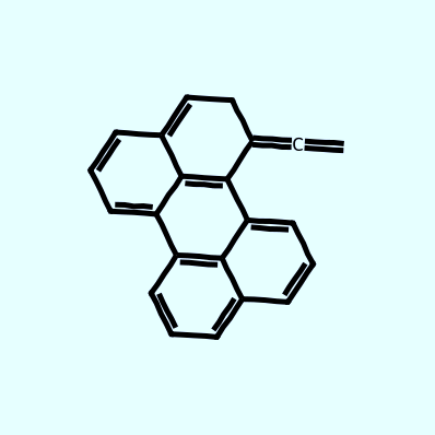 C=C=C1CC=c2cccc3c2c1c1cccc2cccc3c21